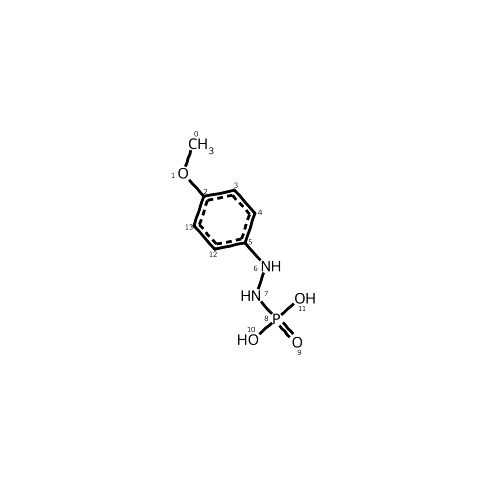 COc1ccc(NNP(=O)(O)O)cc1